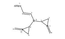 C=C1CC1B(C=CCCCCCC)C1CC1=C